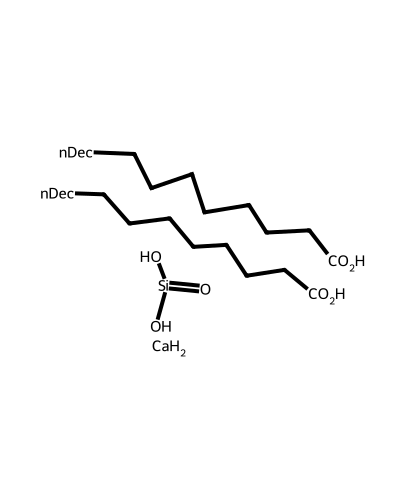 CCCCCCCCCCCCCCCCCC(=O)O.CCCCCCCCCCCCCCCCCC(=O)O.O=[Si](O)O.[CaH2]